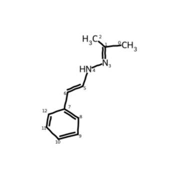 CC(C)=NN/C=C/c1ccccc1